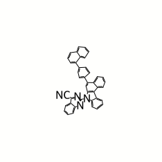 N#Cc1nc(-n2c3ccccc3c3c4ccccc4c(-c4ccc(-c5cccc6ccccc56)cc4)cc32)nc2ccccc12